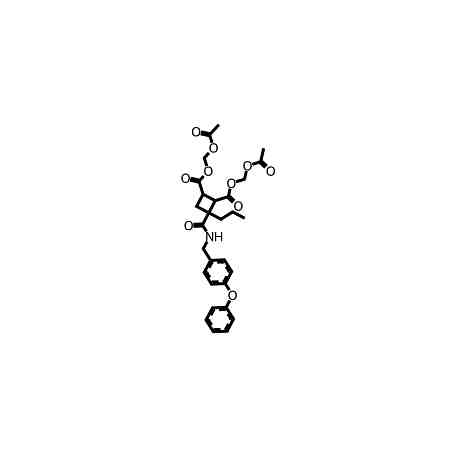 CCCC1(C(=O)NCc2ccc(Oc3ccccc3)cc2)CC(C(=O)OCOC(C)=O)C1C(=O)OCOC(C)=O